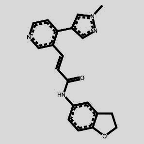 Cn1cc(-c2ccncc2C=CC(=O)Nc2ccc3c(c2)CCO3)cn1